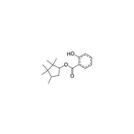 CC1CC(OC(=O)c2ccccc2O)C(C)(C)C1(C)C